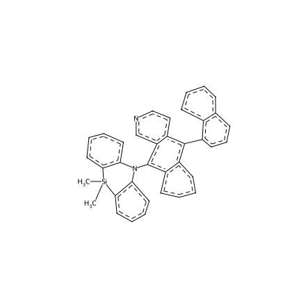 C[Si]1(C)c2ccccc2N(c2c3ccccc3c(-c3cccc4ccccc34)c3ccncc23)c2ccccc21